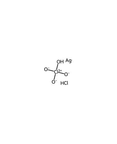 Cl.[Ag].[O-][Cl+3]([O-])([O-])O